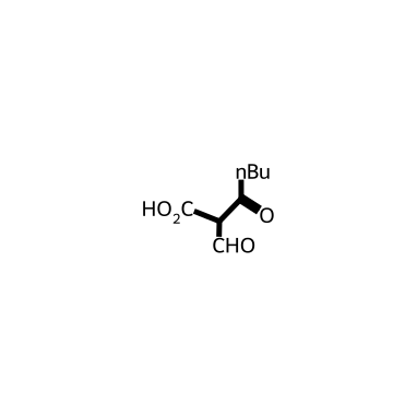 CCCCC(=O)C(C=O)C(=O)O